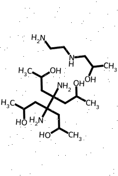 CC(O)CC(N)(CC(C)O)C(N)(CC(C)O)CC(C)O.CC(O)CNCCN